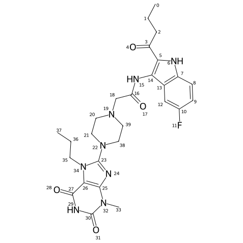 CCCC(=O)c1[nH]c2ccc(F)cc2c1NC(=O)CN1CCN(c2nc3c(c(=O)[nH]c(=O)n3C)n2CCC)CC1